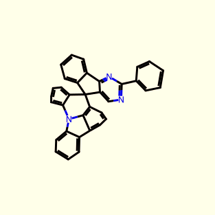 c1ccc(-c2ncc3c(n2)-c2ccccc2C32c3ccccc3-n3c4ccccc4c4cccc2c43)cc1